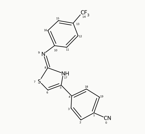 N#Cc1ccc(-c2csc(=Nc3ccc(C(F)(F)F)cc3)[nH]2)cc1